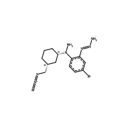 [N-]=[N+]=NC[C@@H]1CCC[C@H](N(N)c2ccc(Br)cc2N=NN)C1